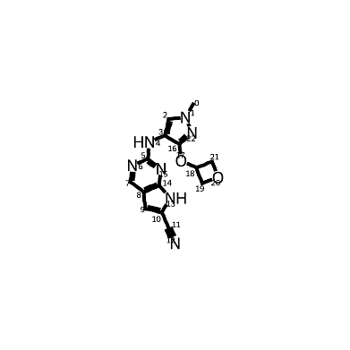 Cn1cc(Nc2ncc3cc(C#N)[nH]c3n2)c(OC2COC2)n1